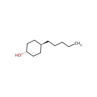 CCCCC[C@H]1CC[C@H](O)CC1